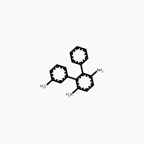 Cc1cccc(-c2c(N)ccc(N)c2-c2ccccc2)c1